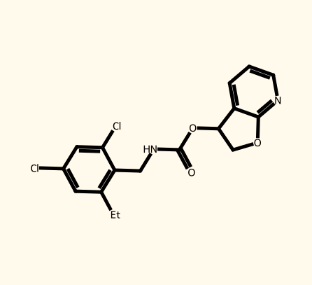 CCc1cc(Cl)cc(Cl)c1CNC(=O)OC1COc2ncccc21